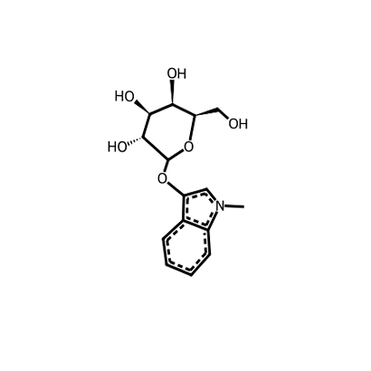 Cn1cc(OC2O[C@H](CO)[C@H](O)[C@H](O)[C@H]2O)c2ccccc21